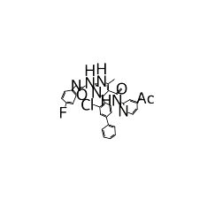 CC(=O)c1ccnc(NC(=O)C2=C(C)NC(Nc3nc4ccc(F)cc4o3)=NC2c2ccc(-c3ccccc3)cc2Cl)c1